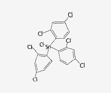 Clc1cc[c]([Sn]([Cl])([c]2ccc(Cl)cc2Cl)[c]2ccc(Cl)cc2Cl)c(Cl)c1